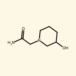 NC(=O)CN1CCCC(O)C1